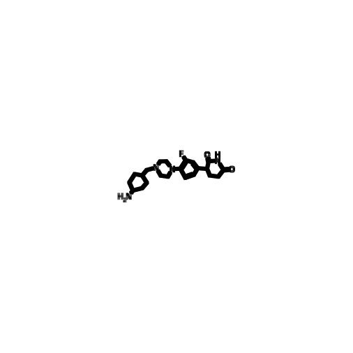 NC1CCC(CN2CCN(c3ccc(C4CCC(=O)NC4=O)cc3F)CC2)CC1